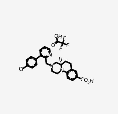 O=C(O)C(F)(F)F.O=C(O)c1ccc2c(c1)CC[C@@H]1CN(Cc3ncccc3-c3ccc(Cl)cc3)CCN21